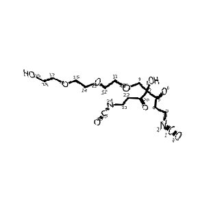 O=C=NCCC(=O)C(O)(COCCOCCOCCO)C(=O)CCN=C=O